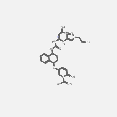 CC(C)C(=N)n1cc(OC2CCC(NC(=O)N/C(=C/C(=N)C(C)(C)C)Nc3cnn(CCO)c3)c3ccccc32)ccc1=N